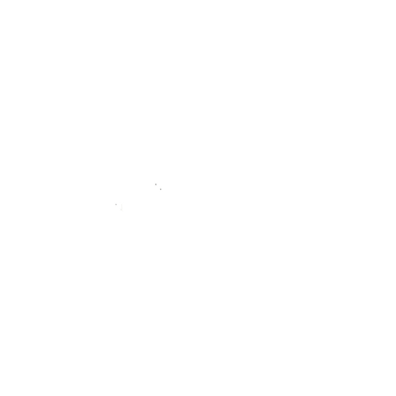 CC1(C)c2ccccc2-c2c1ccc1c(-c3nc4c(ccc5ccccc54)nc3-c3ccccc3)cccc21